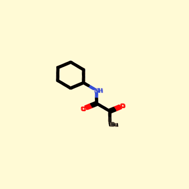 CC(C)(C)C(=O)C(=O)NC1CCCCC1